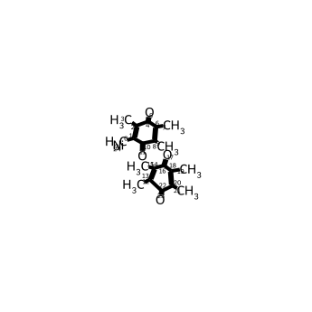 CC1=C(C)C(=O)C(C)=C(C)C1=O.CC1=C(C)C(=O)C(C)=C(C)C1=O.[Ni]